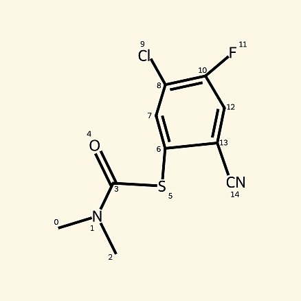 CN(C)C(=O)Sc1cc(Cl)c(F)cc1C#N